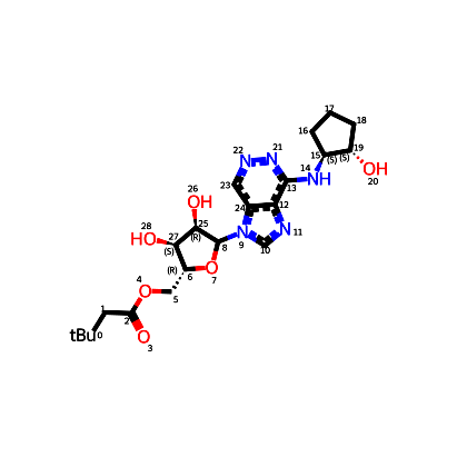 CC(C)(C)CC(=O)OC[C@H]1OC(n2cnc3c(N[C@H]4CCC[C@@H]4O)nncc32)[C@H](O)[C@@H]1O